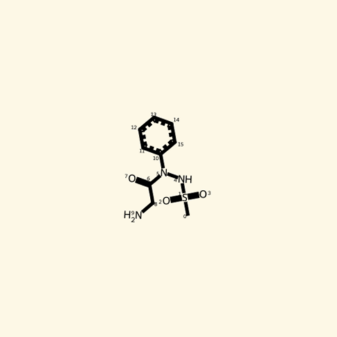 CS(=O)(=O)NN(C(=O)CN)c1ccccc1